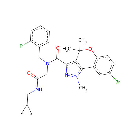 Cn1nc(C(=O)N(CC(=O)NCC2CC2)Cc2ccccc2F)c2c1-c1cc(Br)ccc1OC2(C)C